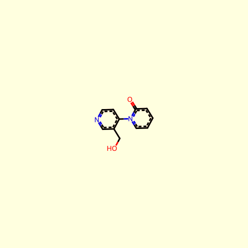 O=c1ccccn1-c1ccncc1CO